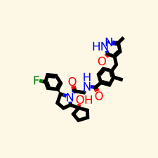 Cc1cc(Cc2ccc(C(=O)NCC(=O)N3C(C4(O)CCCC4)CC[C@H]3c3cccc(F)c3)cc2C)c(=O)[nH]n1